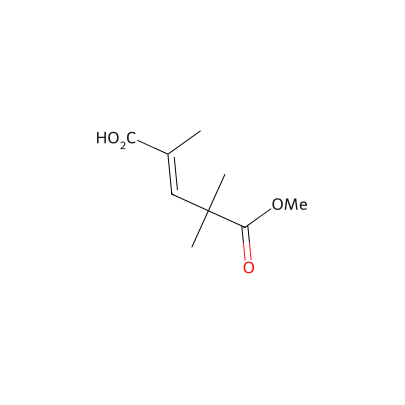 COC(=O)C(C)(C)C=C(C)C(=O)O